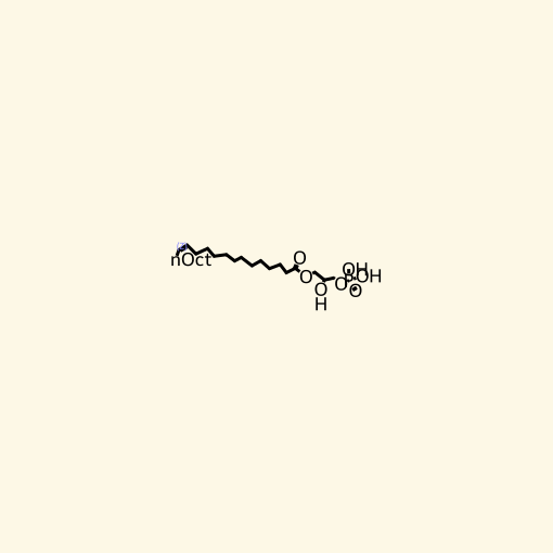 CCCCCCCC/C=C\CCCCCCCCCCCC(=O)OCC(O)COP(=O)(O)O